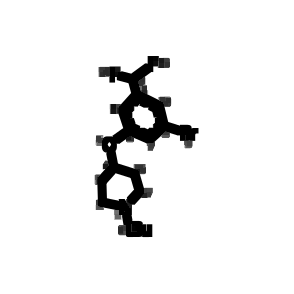 CC(C)(C)N1CCC(Oc2cc(Br)cc(C(F)F)c2)CC1